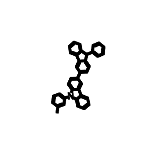 Cc1cccc(-n2c3ccccc3c3cc(-c4ccc5c(c4)-c4ccccc4C5c4ccccc4)ccc32)c1